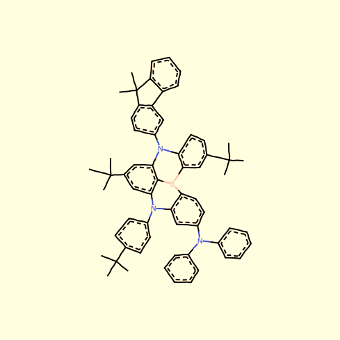 CC(C)(C)c1ccc(N2c3cc(N(c4ccccc4)c4ccccc4)ccc3B3c4cc(C(C)(C)C)ccc4N(c4ccc5c(c4)-c4ccccc4C5(C)C)c4cc(C(C)(C)C)cc2c43)cc1